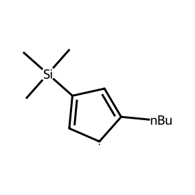 CCCCC1=CC([Si](C)(C)C)=C[CH]1